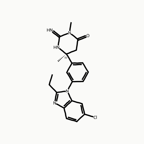 CCc1nc2ccc(Cl)cc2n1-c1cccc([C@]2(C)CC(=O)N(C)C(=N)N2)c1